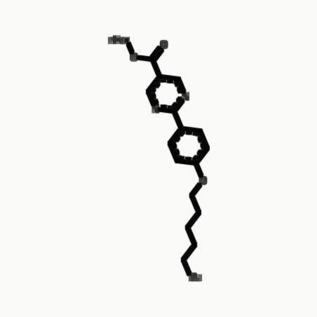 CCCCCCOC(=O)c1cnc(-c2ccc(OCCCCCC(C)CC)cc2)nc1